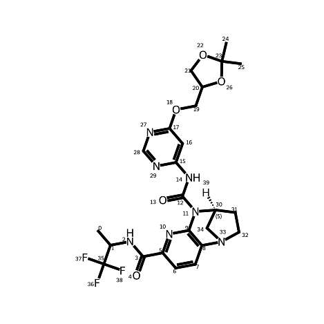 CC(NC(=O)c1ccc2c(n1)N(C(=O)Nc1cc(OCC3COC(C)(C)O3)ncn1)[C@H]1CCN2C1)C(F)(F)F